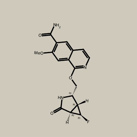 COc1cc2c(OC[C@H]3NC(=O)[C@@H]4[C@H](F)[C@H]43)nccc2cc1C(N)=O